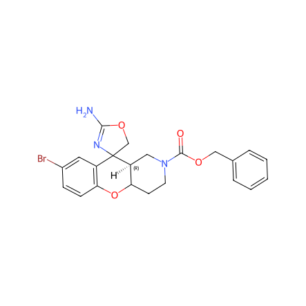 NC1=NC2(CO1)c1cc(Br)ccc1OC1CCN(C(=O)OCc3ccccc3)C[C@@H]12